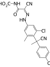 Cc1cc(NN=C(C#N)C(=O)NC(=O)O)cc(Cl)c1C(C)(C#N)c1ccc(Cl)cc1